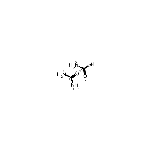 NC(=O)S.NC(N)=O